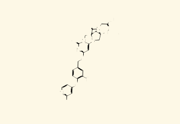 C=C(CC)CN1C(=O)[C@]23C[C@H]1CN2c1cc(OCc2ccc(Oc4ccnc(C(F)(F)F)c4)c(F)c2)nc(=O)n1C3